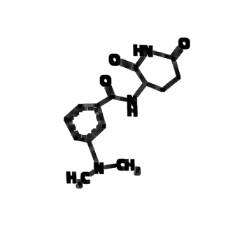 CN(C)c1cccc(C(=O)NC2CCC(=O)NC2=O)c1